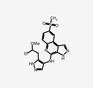 COC(Cl)Cc1[nH]ncc1Nc1nc2ccc(S(C)(=O)=O)cc2c2cn[nH]c12